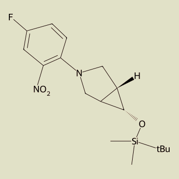 CC(C)(C)[Si](C)(C)O[C@@H]1C2CN(c3ccc(F)cc3[N+](=O)[O-])C[C@@H]21